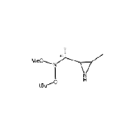 CON(OC(C)(C)C)[C@H](C)C1NC1C